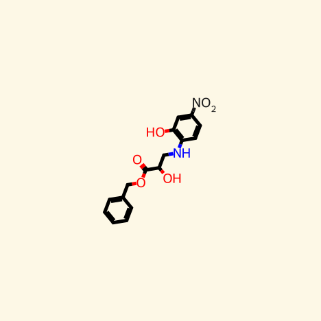 O=C(OCc1ccccc1)C(O)CNc1ccc([N+](=O)[O-])cc1O